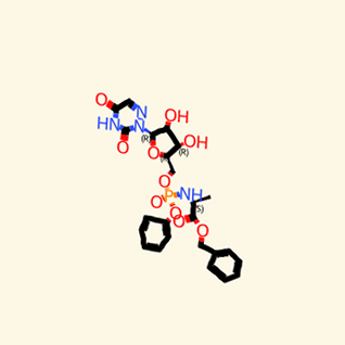 C[C@H](NP(=O)(OC[C@H]1O[C@@H](n2ncc(=O)[nH]c2=O)C(O)[C@H]1O)Oc1ccccc1)C(=O)OCc1ccccc1